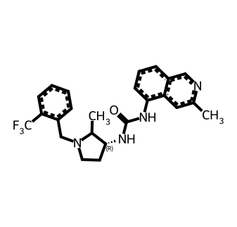 Cc1cc2c(NC(=O)N[C@@H]3CCN(Cc4ccccc4C(F)(F)F)C3C)cccc2cn1